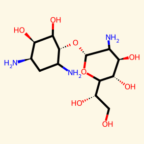 NC1C[C@@H](N)[C@@H](O)C(O)[C@@H]1O[C@H]1OC([C@@H](O)CO)[C@@H](O)[C@H](O)C1N